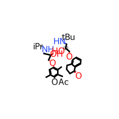 CC(=O)Oc1c(C)cc(OCC(O)CNC(C)C)c(C)c1C.CC(C)(C)NC[C@H](O)COc1cccc2c1CCCC2=O